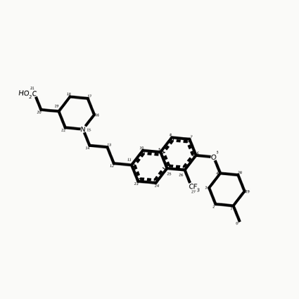 CC1CCC(Oc2ccc3cc(CCCN4CCCC(CC(=O)O)C4)ccc3c2C(F)(F)F)CC1